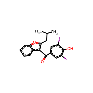 CC(C)Cc1oc2ccccc2c1C(=O)c1cc(I)c(O)c(I)c1